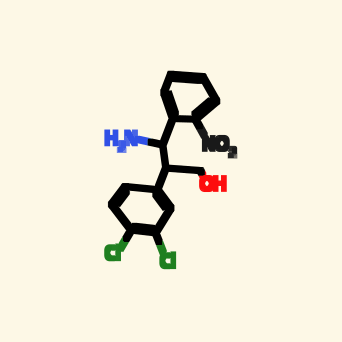 NC(c1ccccc1[N+](=O)[O-])C(CO)c1ccc(Cl)c(Cl)c1